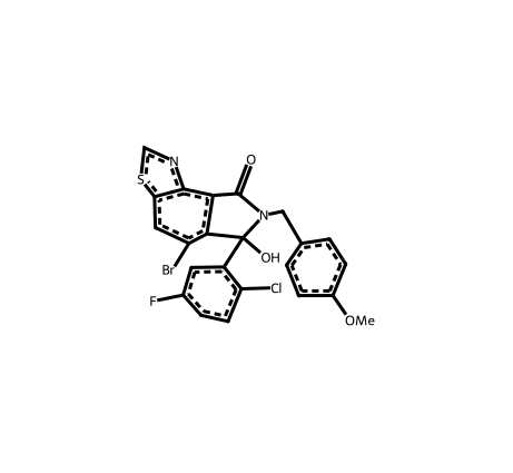 COc1ccc(CN2C(=O)c3c(c(Br)cc4scnc34)C2(O)c2cc(F)ccc2Cl)cc1